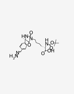 CC(C)(C)OC(=O)N[C@@H](CCCCN1C(=O)N[C@](C)(c2ccc(C=NN)cc2)C1=O)C(=O)O